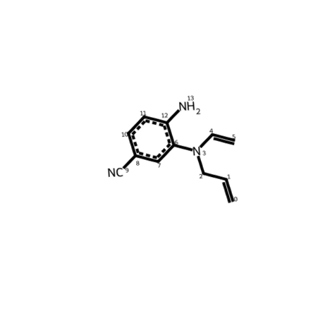 C=CCN(C=C)c1cc(C#N)ccc1N